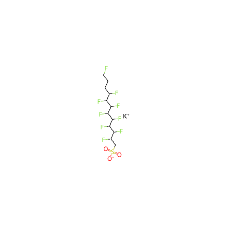 O=S(=O)([O-])CC(F)C(F)C(F)C(F)C(F)C(F)C(F)C(F)CCCF.[K+]